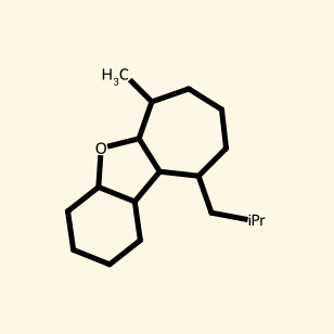 CC(C)CC1CCCC(C)C2OC3CCCCC3C12